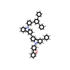 c1ccc(-c2cc(-c3ccccc3)cc(-c3cccc(-n4c5ccccc5c5cc(-c6ccc7c(c6)c6cc(-c8ccccc8)ccc6n7-c6ccc7c(c6)oc6ccccc67)ccc54)c3)c2)cc1